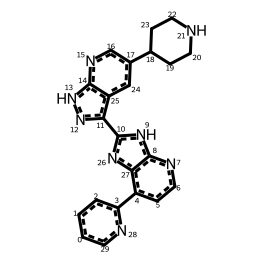 c1ccc(-c2ccnc3[nH]c(-c4n[nH]c5ncc(C6CCNCC6)cc45)nc23)nc1